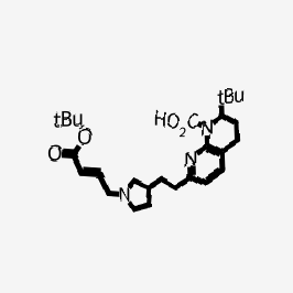 CC(C)(C)OC(=O)C=CCN1CCC(CCc2ccc3c(n2)N(C(=O)O)C(C(C)(C)C)CC3)C1